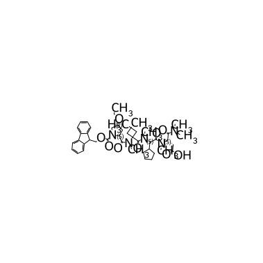 CCO[C@@H]1C[C@@H](C(=O)N(C)C2(C(=O)N(C)[C@H](C(=O)N(C)[C@@H](CC(=O)O)C(=O)N(C)C)C3CCCC3)CC(C)(C)C2)N(C(=O)OCC2c3ccccc3-c3ccccc32)C1